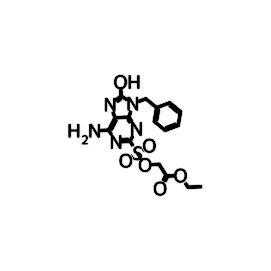 CCOC(=O)COS(=O)(=O)c1nc(N)c2nc(O)n(Cc3ccccc3)c2n1